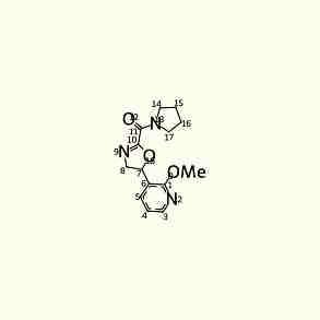 COc1ncccc1C1CN=C(C(=O)N2CCCC2)O1